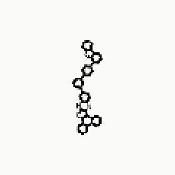 c1cc(-c2ccc(-c3cccc4c3sc3ccccc34)cc2)cc(-c2ccc3nc4c(nc3c2)oc2c3ccccc3c3ccccc3c42)c1